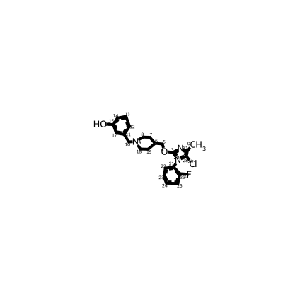 Cc1nc(OCC2CCN(Cc3cccc(O)c3)CC2)n(-c2ccccc2F)c1Cl